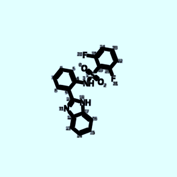 O=S(=O)(Nc1ccccc1-c1nc2ccccc2[nH]1)c1c(F)cccc1F